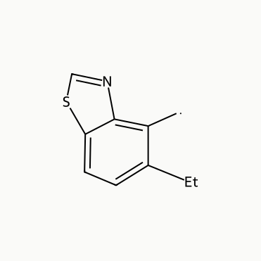 [CH2]c1c(CC)ccc2scnc12